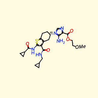 COCCOC(=O)c1ncn([C@H]2CCc3sc(NC(=O)C4CC4)c(C(=O)NCC4CC4)c3C2)c1N